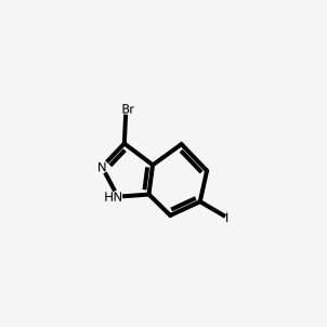 Brc1n[nH]c2cc(I)ccc12